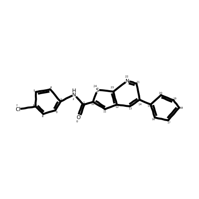 O=C(Nc1ccc(Cl)cc1)c1cc2cc(-c3ccccc3)cnc2s1